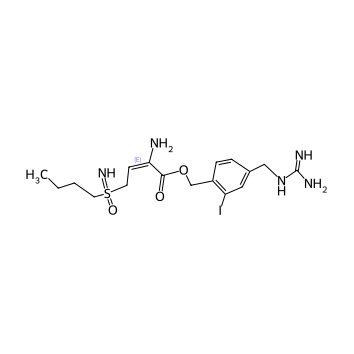 CCCCS(=N)(=O)C/C=C(/N)C(=O)OCc1ccc(CNC(=N)N)cc1I